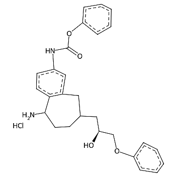 Cl.NC1CCC(C[C@H](O)COc2ccccc2)Cc2cc(NC(=O)Oc3ccccc3)ccc21